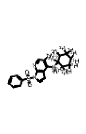 [2H]C1C([2H])([2H])C([2H])([2H])C([2H])([2H])C([2H])([2H])C1([2H])N([2H])c1c([N+](=O)[O-])cnc2c1ccn2S(=O)(=O)c1ccccc1